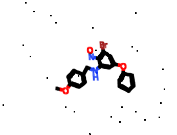 COc1ccc(CNc2cc(Oc3ccccc3)cc(Br)c2N=O)cc1